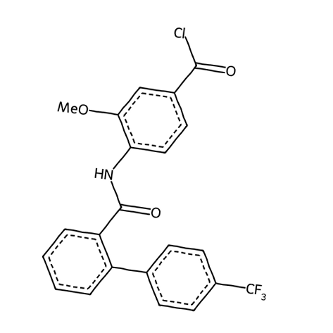 COc1cc(C(=O)Cl)ccc1NC(=O)c1ccccc1-c1ccc(C(F)(F)F)cc1